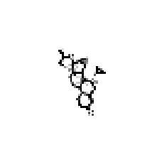 C[C@]12CCC3C4CCC(=O)C=C4C[C@@H](C4CC4)C3C1C1CC1[C@@]21CCC(=O)O1